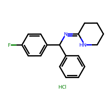 Cl.Fc1ccc(C(/N=C2/CCCCN2)c2ccccc2)cc1